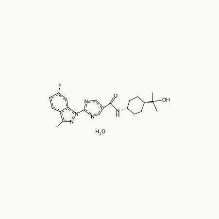 Cc1nn(-c2ncc(C(=O)N[C@H]3CC[C@H](C(C)(C)O)CC3)cn2)c2cc(F)ccc12.O